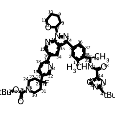 Cc1cc(-c2nn(C3CCCCO3)c3ncc(-c4ccc(C5(F)CCN(C(=O)OC(C)(C)C)CC5)cn4)cc23)ccc1[C@@H](C)NC(=O)c1nc(C(C)(C)C)no1